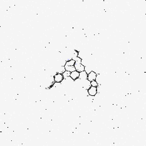 C=CCCCCN(C1=Cc2c(sc3c2=CCCC=3)CC1)C1=C2/C(C)=C/C=C\CN(c3ccc(C#N)cc3)C2CC=C1